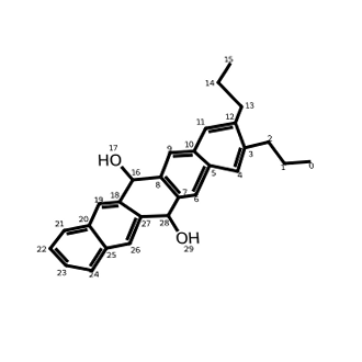 CCCc1cc2cc3c(cc2cc1CCC)C(O)c1cc2ccccc2cc1C3O